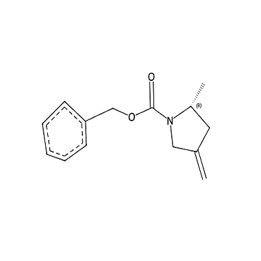 C=C1C[C@@H](C)N(C(=O)OCc2ccccc2)C1